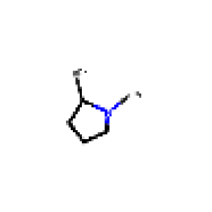 CCCC1CCCN1CCC